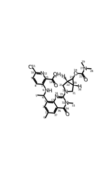 Cc1cc(C(C)Nc2ccc(Cl)nc2C(=O)O)c2nc(N3C[C@@H]4C(OC(=O)N(C)C)[C@@H]4C3)n(C)c(=O)c2c1